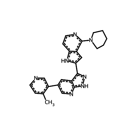 Cc1ccncc1-c1cnc2[nH]nc(-c3cc4c(N5CCCCC5)nccc4[nH]3)c2c1